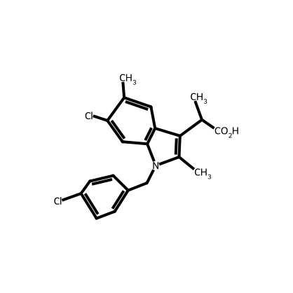 Cc1cc2c(C(C)C(=O)O)c(C)n(Cc3ccc(Cl)cc3)c2cc1Cl